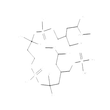 CCCC(CC)(CCOP(=O)(O)OC(CC)(CCC)CC(COP(=O)(O)O)CC(C)NF)OP(=O)(O)OCC(CO)CC(C)NF